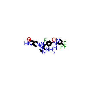 Nc1nccn2c(N3CCC4(CC3)CNC(=O)C4)nc(-c3ccc(C(=O)Nc4cc(C(F)(F)F)ccn4)cc3F)c12